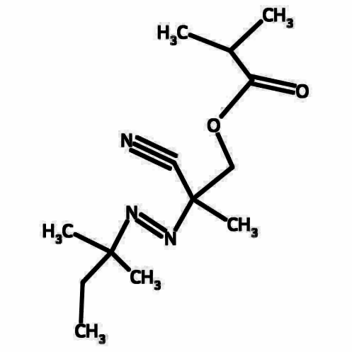 CCC(C)(C)N=NC(C)(C#N)COC(=O)C(C)C